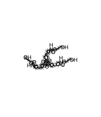 O=C(Nc1ccc(Cc2ccc(-n3c(=O)n(-c4ccc(Cc5ccc(NC(=O)OCC#CCO)cc5)cc4)c(=O)n(-c4ccc(Cc5ccc(NC(=O)OCC#CCO)cc5)cc4)c3=O)cc2)cc1)OCC#CCO